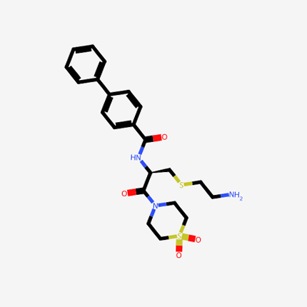 NCCSC[C@H](NC(=O)c1ccc(-c2ccccc2)cc1)C(=O)N1CCS(=O)(=O)CC1